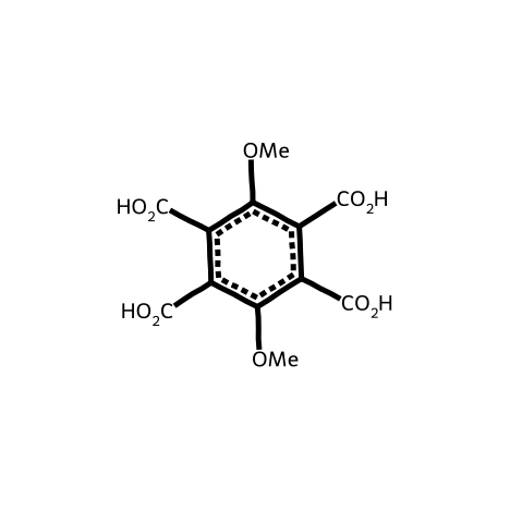 COc1c(C(=O)O)c(C(=O)O)c(OC)c(C(=O)O)c1C(=O)O